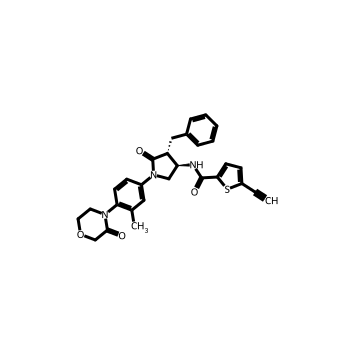 C#Cc1ccc(C(=O)N[C@H]2CN(c3ccc(N4CCOCC4=O)c(C)c3)C(=O)[C@@H]2Cc2ccccc2)s1